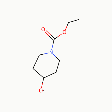 CCOC(=O)N1CCC([O])CC1